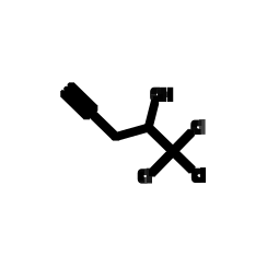 C#CCC(O)C(Cl)(Cl)Cl